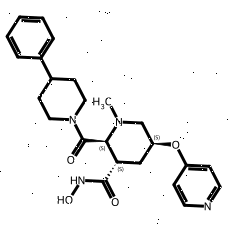 CN1C[C@@H](Oc2ccncc2)C[C@H](C(=O)NO)[C@H]1C(=O)N1CCC(c2ccccc2)CC1